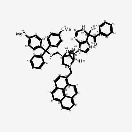 COc1ccc(C(OC[C@@]23CN(Cc4ccc5ccc6cccc7ccc4c5c67)[C@H]([C@H](n4cnc5c4N=CNC5(N)C(=O)c4ccccc4)O2)[C@H]3O)(c2ccccc2)c2ccc(OC)cc2)cc1